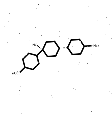 CCCCCCCCC1CCC([C@]2(C#N)CC[C@@H](C3CCC(CCCCCC)CC3)CC2)CC1